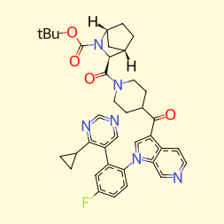 CC(C)(C)OC(=O)N1[C@@H]2CC[C@@H](C2)[C@H]1C(=O)N1CCC(C(=O)c2cn(-c3ccc(F)cc3-c3cncnc3C3CC3)c3cnccc23)CC1